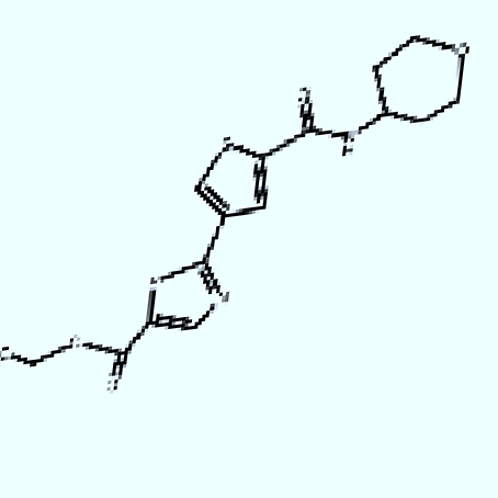 CCOC(=O)c1cnc(-c2csc(C(=O)NC3CCOCC3)c2)s1